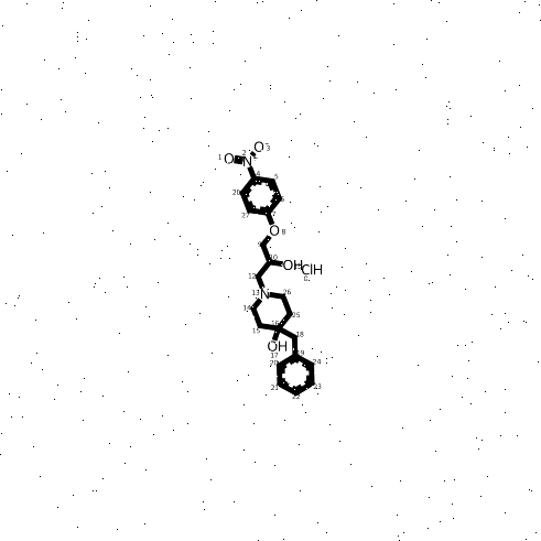 Cl.O=[N+]([O-])c1ccc(OCC(O)CN2CCC(O)(Cc3ccccc3)CC2)cc1